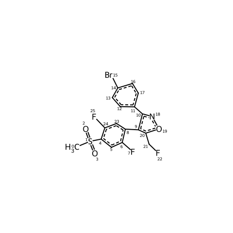 CS(=O)(=O)c1cc(F)c(-c2c(-c3ccc(Br)cc3)noc2CF)cc1F